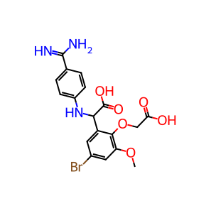 COc1cc(Br)cc(C(Nc2ccc(C(=N)N)cc2)C(=O)O)c1OCC(=O)O